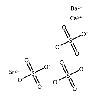 O=S(=O)([O-])[O-].O=S(=O)([O-])[O-].O=S(=O)([O-])[O-].[Ba+2].[Ca+2].[Sr+2]